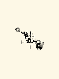 CC(=Cc1ccc(O[C@@H]2O[C@H](C(C)=CCSc3ccccc3)[C@@H](O)[C@@H]2O)c(O)c1)C(=O)N[C@@H]1[C@H](O)[C@@H](O)[C@H]2OCO[C@H]2[C@@H]1O